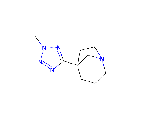 Cn1nnc(C23CCCN(CC2)C3)n1